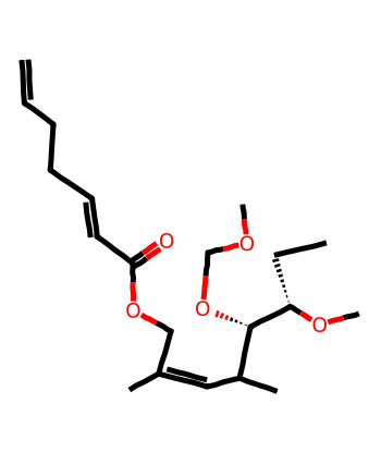 C=CCC/C=C/C(=O)OC/C(C)=C\C(C)[C@H](OCOC)[C@H](CC)OC